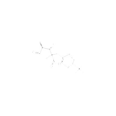 C=C(C=O)C(=O)C(C)(Cc1ccc(C(C)(C)C)cc1)C(=O)O